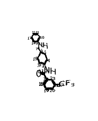 O=C(N[C@H]1CC[C@H](CNc2ccccc2)CC1)c1cccc(C(F)(F)F)c1